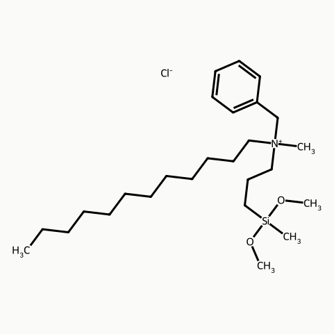 CCCCCCCCCCCC[N+](C)(CCC[Si](C)(OC)OC)Cc1ccccc1.[Cl-]